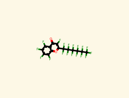 O=c1c(F)c(C(F)(F)C(F)(F)C(F)(F)C(F)(F)C(F)(F)C(F)(F)F)oc2c(F)c(F)c(F)c(F)c12